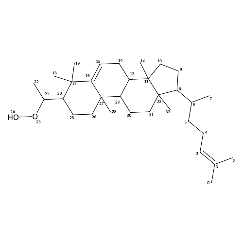 CC(C)=CCCC(C)C1CCC2(C)C3CC=C4C(C)(C)C(C(C)OO)CCC4(C)C3CCC12C